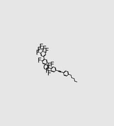 CCCCCc1ccc(C#Cc2cc(F)c(C(F)(F)Oc3ccc(C4=CC(F)C(C(F)(F)F)C(F)=C4)c(F)c3)c(F)c2)cc1